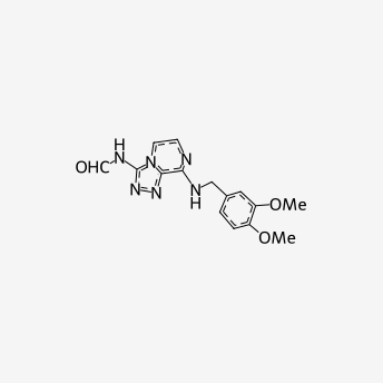 COc1ccc(CNc2nccn3c(NC=O)nnc23)cc1OC